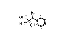 CCC(c1ccccc1)C(C)(C)C=O